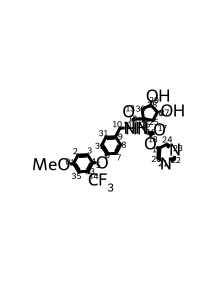 COc1ccc(Oc2ccc(CNC(=O)C3(NC(=O)Oc4cncnc4)C[C@H](O)[C@@H](O)C3)cc2)c(C(F)(F)F)c1